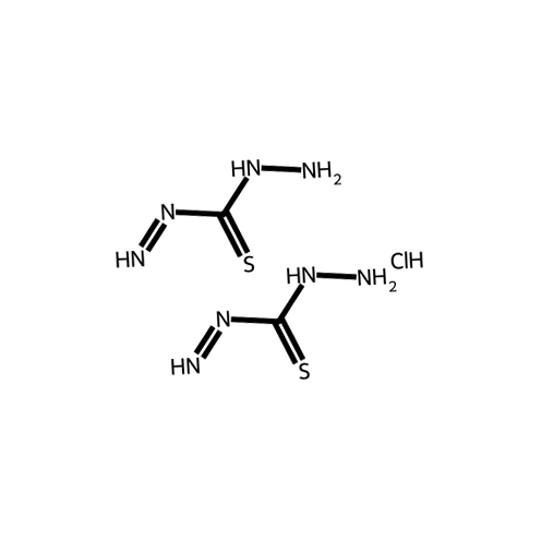 Cl.N=NC(=S)NN.N=NC(=S)NN